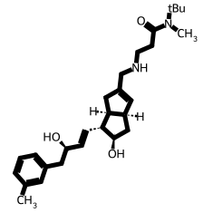 Cc1cccc(C[C@@H](O)/C=C/[C@@H]2[C@H]3CC(CNCCC(=O)N(C)C(C)(C)C)=C[C@H]3C[C@H]2O)c1